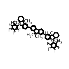 CC1(C)c2cc(-c3ccc4c(c3)C3(C)CCCCC3(C)N4c3c(F)c(F)c(F)c(F)c3F)ccc2-c2ccc(-c3ccc4c(c3)C3(C)CCCCC3(C)N4c3c(F)c(F)c(F)c(F)c3F)cc21